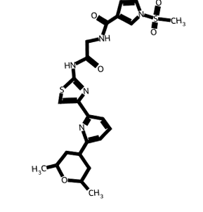 CC1CC(c2cccc(-c3csc(NC(=O)CNC(=O)c4ccn(S(C)(=O)=O)c4)n3)n2)CC(C)O1